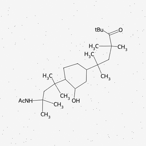 CC(=O)NC(C)(C)CC(C)(C)C1CCC(C(C)(C)CC(C)(C)C(=O)C(C)(C)C)CC1O